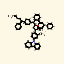 C=CCC/C(=C1/C=CCCC1)C1C=CC(C(C2C=C(C)[C@@H](c3ccc(-n4c5c(c6ccccc64)C=CCC5)cc3C)C2)C2CC=CC=C2C2=CC([C@H]3C=CCCC3)=CCC2)=CC1